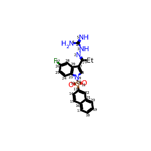 CCC(=NNC(=N)N)c1cn(S(=O)(=O)c2ccc3ccccc3c2)c2ccc(F)cc12